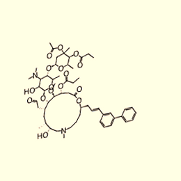 CCC(=O)O[C@@H]1CC(=O)O[C@@H](C/C=C/c2cccc(-c3ccccc3)c2)CCCN(C)C[C@H](O)[C@H](C)C[C@H](CC=O)[C@H](O[C@@H]2OC(C)[C@@H](O[C@H]3CC(C)(OC(C)=O)[C@@H](OC(=O)CC)C(C)O3)C(N(C)C)C2O)[C@H]1OC